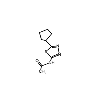 CC(=O)Nc1nnc(C2CCCC2)s1